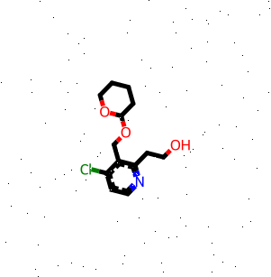 OCCc1nccc(Cl)c1COC1CCCCO1